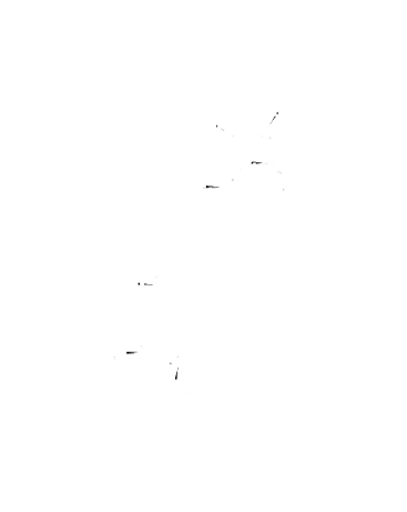 C[C@@H](c1ccc2c(c1)CC[C@H]1[C@H]2C[C@@H]2O[C@@]23CC=CC(=O)[C@]13C)[C@@]12C[C@@](C)(O)[C@@](C)(CO1)O2